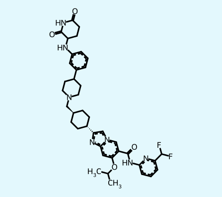 CC(C)Oc1cc2nc([C@H]3CC[C@H](CN4CCC(c5cccc(NC6CCC(=O)NC6=O)c5)CC4)CC3)cn2cc1C(=O)Nc1cccc(C(F)F)n1